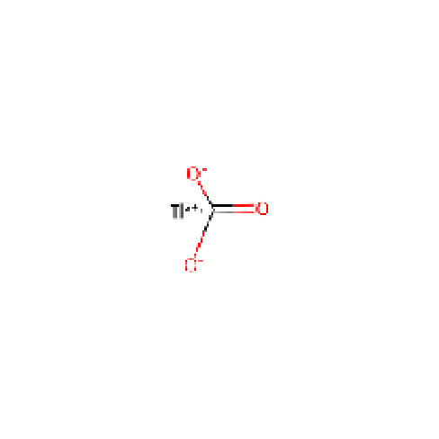 O=C([O-])[O-].[Tl+2]